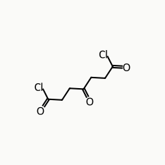 O=C(Cl)CCC(=O)CCC(=O)Cl